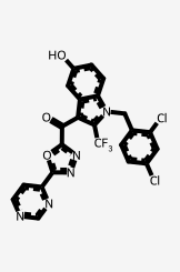 O=C(c1nnc(-c2ccncn2)o1)c1c(C(F)(F)F)n(Cc2ccc(Cl)cc2Cl)c2ccc(O)cc12